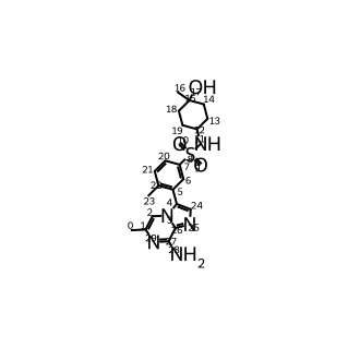 Cc1cn2c(-c3cc(S(=O)(=O)NC4CCC(C)(O)CC4)ccc3C)cnc2c(N)n1